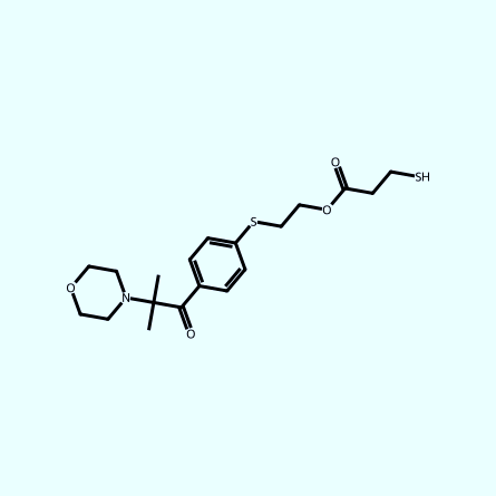 CC(C)(C(=O)c1ccc(SCCOC(=O)CCS)cc1)N1CCOCC1